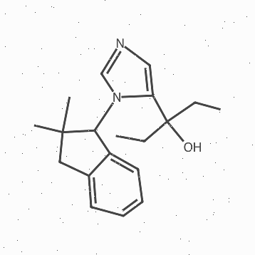 CCC(O)(CC)c1cncn1C1c2ccccc2CC1(C)C